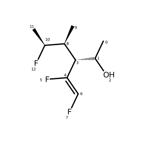 CC(O)[C@H](/C(F)=C/F)[C@H](C)[C@H](C)F